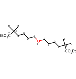 CCOC(=O)C(C)(C)CCCCOCCCCC(C)(C)C(=O)OCC